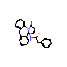 O=C(Cc1ccccc1)NC12CCC(=O)N1c1ccccc1Cc1ccccc12